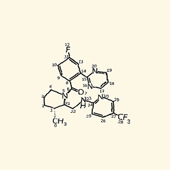 C[C@@H]1CCCN(C(=O)c2ccc(F)cc2-c2ncccn2)C1CNc1ccc(C(F)(F)F)cn1